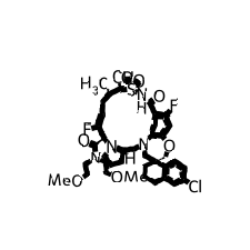 COCCN(CCOC)C(=O)[C@H]1/C(F)=C/C[C@H](C)[C@@H](C)S(=O)(=O)NC(=O)c2cc3c(cc2F)OC[C@]2(CCCc4cc(Cl)ccc42)CN3C[C@@H]2CCCN21